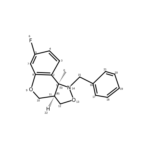 C[C@@]12c3ccc(F)cc3OC[C@@H]1CON2Cc1ccccc1